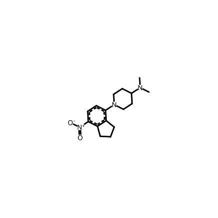 CN(C)C1CCN(c2ccc([N+](=O)[O-])c3c2CCC3)CC1